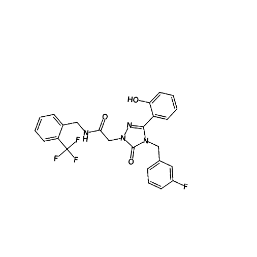 O=C(Cn1nc(-c2ccccc2O)n(Cc2cccc(F)c2)c1=O)NCc1ccccc1C(F)(F)F